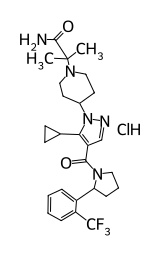 CC(C)(C(N)=O)N1CCC(n2ncc(C(=O)N3CCCC3c3ccccc3C(F)(F)F)c2C2CC2)CC1.Cl